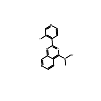 CC(C)N(C)c1nc(-c2ccncc2F)nc2cnccc12